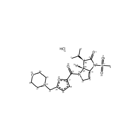 CC(C)[C@H]1C(=O)N(S(C)(=O)=O)C2=CCN(C(=O)c3ccc(CN4CCOCC4)o3)[C@@H]21.Cl